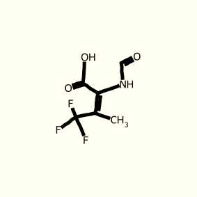 CC(=C(NC=O)C(=O)O)C(F)(F)F